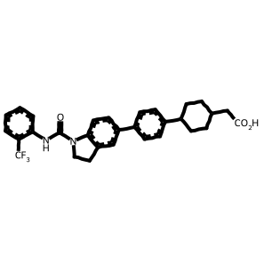 O=C(O)CC1CCC(c2ccc(-c3ccc4c(c3)CCN4C(=O)Nc3ccccc3C(F)(F)F)cc2)CC1